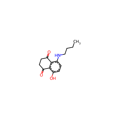 CCCCNc1ccc(O)c2c1C(=O)CCC2=O